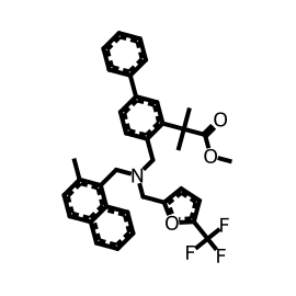 COC(=O)C(C)(C)c1cc(-c2ccccc2)ccc1CN(Cc1ccc(C(F)(F)F)o1)Cc1c(C)ccc2ccccc12